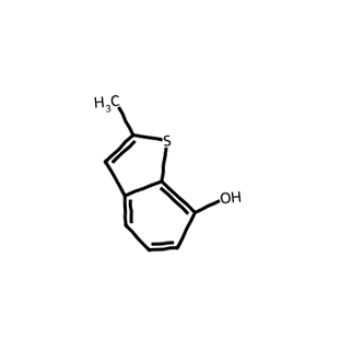 Cc1cc2cccc(O)c2s1